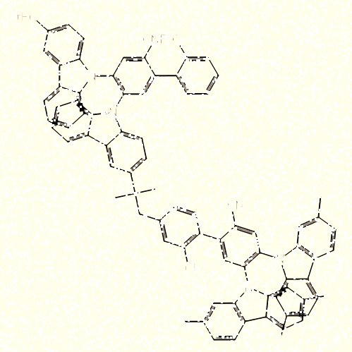 Cc1ccc2c3ccc(C)cc3n(-c3cc(C#N)c(-c4ccc(CC(C)(C)c5ccc6c(c5)c5ccccc5n6-c5cc(-c6ccccc6C(F)(F)F)c(C#N)cc5-n5c6ccccc6c6cc(C(C)(C)C)ccc65)cc4C(F)(F)F)cc3-n3c4cc(C)ccc4c4ccc(C)cc43)c2c1